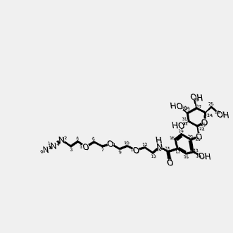 [N-]=[N+]=NCCOCCOCCOCCNC(=O)c1ccc(O[C@@H]2O[C@H](CO)[C@H](O)[C@H](O)[C@H]2O)c(O)c1